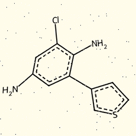 Nc1cc(Cl)c(N)c(-c2ccsc2)c1